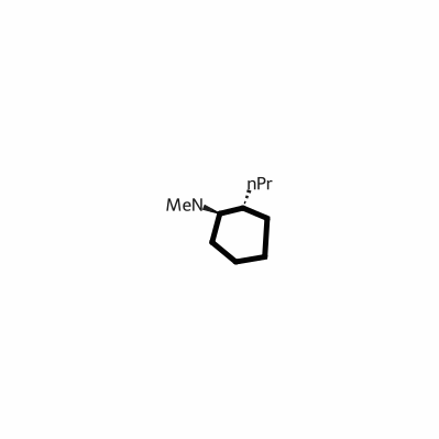 CCC[C@@H]1CCCC[C@H]1NC